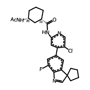 CC(=O)N[C@@H]1CCC[C@H](C(=O)Nc2cc(-c3cc(F)c4c(c3)C3(C=N4)CCCC3)c(Cl)cn2)C1